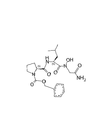 CC(C)C[C@H](NC(=O)[C@@H]1CCCN1C(=O)OCc1ccccc1)C(=O)N(O)CC(N)=O